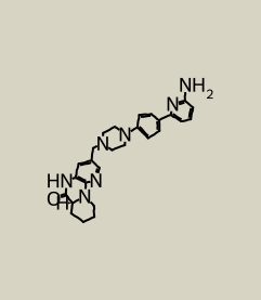 Nc1cccc(-c2ccc(N3CCN(Cc4cnc5c(c4)NC(=O)[C@@H]4CCCCN54)CC3)cc2)n1